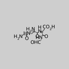 NCC(=O)NC[C@H](N)C(=O)N[C@@H](CC(=O)O)C(=O)NCC=O